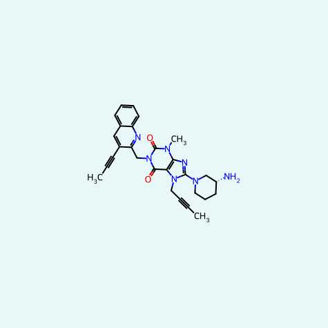 CC#CCn1c(N2CCC[C@@H](N)C2)nc2c1c(=O)n(Cc1nc3ccccc3cc1C#CC)c(=O)n2C